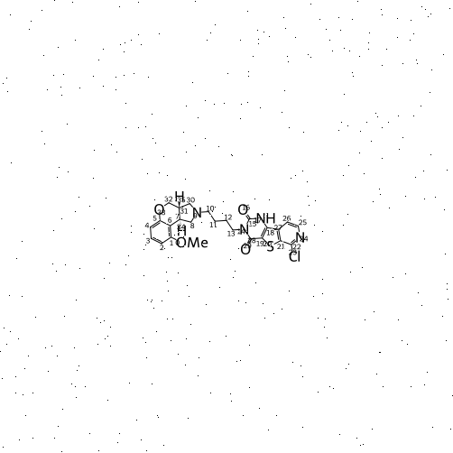 COc1cccc2c1[C@@H]1CN(CCCCn3c(=O)[nH]c4c(sc5c(Cl)nccc54)c3=O)C[C@H]1CO2